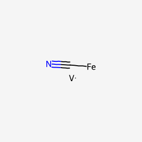 N#[C][Fe].[V]